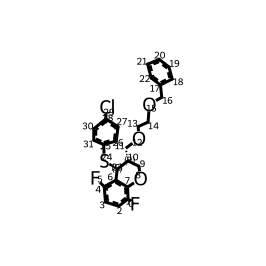 Fc1ccc(F)c2c1OC[C@@H](COCCOCc1ccccc1)[C@@H]2Sc1ccc(Cl)cc1